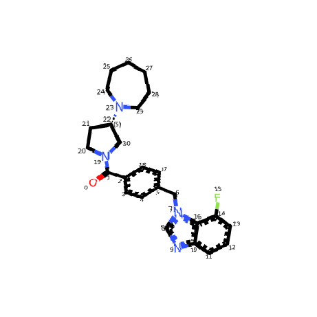 O=C(c1ccc(Cn2cnc3cccc(F)c32)cc1)N1CC[C@H](N2CCCCCC2)C1